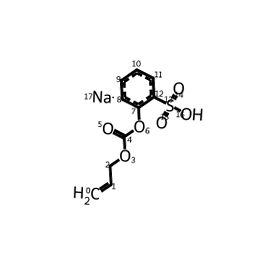 C=CCOC(=O)Oc1ccccc1S(=O)(=O)O.[Na]